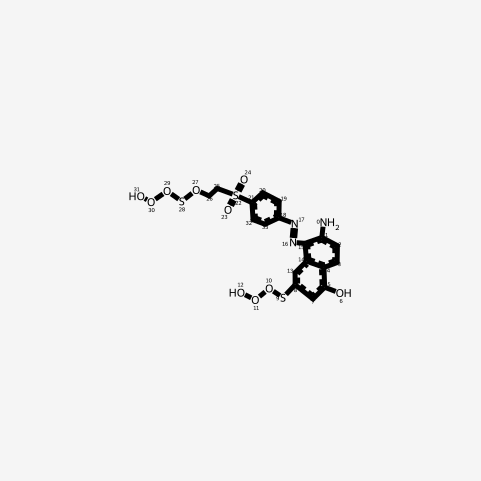 Nc1ccc2c(O)cc(SOOO)cc2c1/N=N/c1ccc(S(=O)(=O)CCOSOOO)cc1